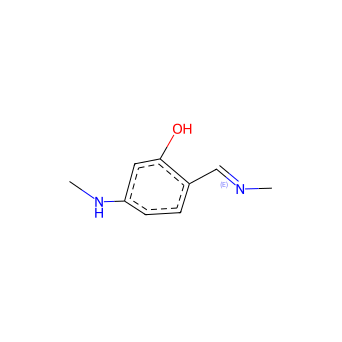 C/N=C/c1ccc(NC)cc1O